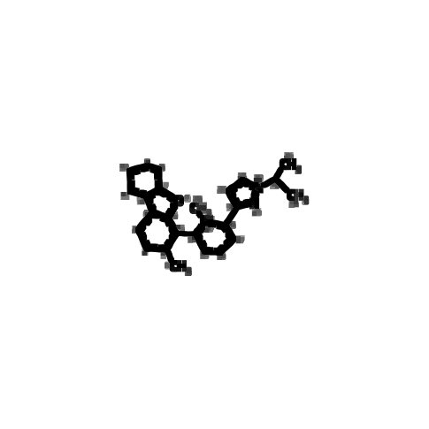 Cc1ccc2c(oc3ccccc32)c1-c1cccc(-c2ccn(C(C)C)n2)[n+]1C